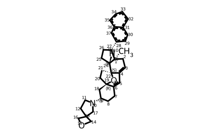 C[C@]12CC=C3C=C4CC[C@H](N5CCC6(COC6)C5)C[C@]45CC[C@]3(O5)[C@@H]1CC[C@@H]2c1ccc2ccccc2c1